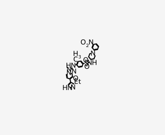 CCOc1c(-c2cn[nH]c2)ccn2nc(Nc3ccc(S(=O)(=O)NC4CCN(c5cccc([N+](=O)[O-])c5)CC4)cc3C)nc12